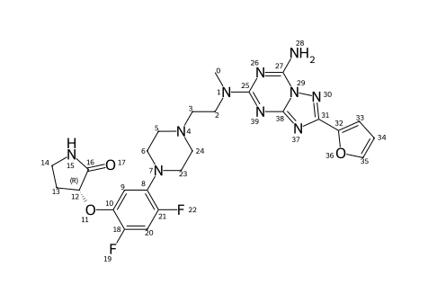 CN(CCN1CCN(c2cc(O[C@@H]3CCNC3=O)c(F)cc2F)CC1)c1nc(N)n2nc(-c3ccco3)nc2n1